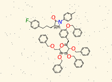 Cc1ccc(N2C(=O)[C@H](CCCc3ccc(F)cc3)[C@H]2c2ccc(C[C@@H]3OC(COCc4ccccc4)[C@@H](OCc4ccccc4)[C@@H](OCc4ccccc4)C3OCc3ccccc3)cc2OCc2ccccc2)cc1